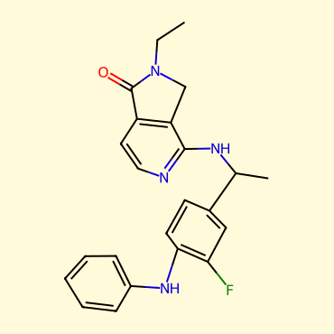 CCN1Cc2c(ccnc2NC(C)c2ccc(Nc3ccccc3)c(F)c2)C1=O